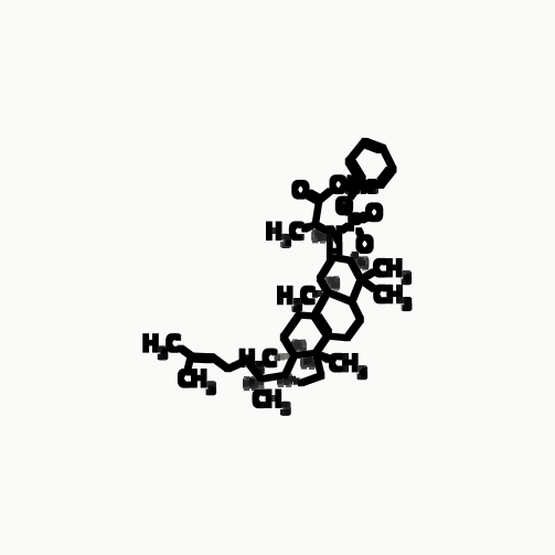 COC(=O)[C@H](C)NP(=O)(Oc1ccccc1)O[C@H]1CC[C@]2(C)C3=C(CCC2C1(C)C)[C@]1(C)CC[C@H]([C@H](C)CCC=C(C)C)[C@@]1(C)CC3